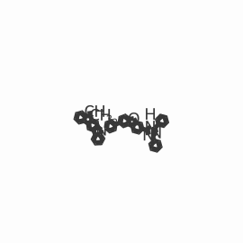 CC1(C)c2ccccc2-c2cc3c4ccccc4n(-c4ccc(-c5ccc6oc7cc(C8=NC(c9ccccc9)=NC(c9ccccc9)N8)ccc7c6c5)cc4)c3cc21